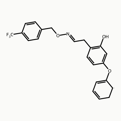 Oc1cc(OC2=CC=CC[CH]2)ccc1CC=NOCc1ccc(C(F)(F)F)cc1